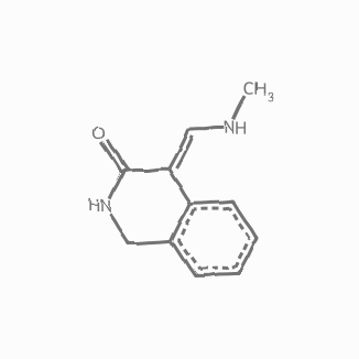 CN/C=C1/C(=O)NCc2ccccc21